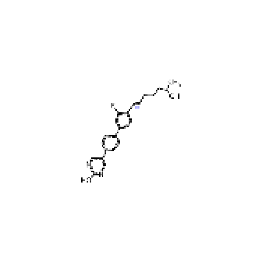 CC(O)CCC/C=C/c1ccc(-c2ccc(-c3cnc(O)nc3)cc2)cc1F